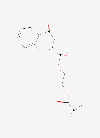 C=C(C)C(=O)OCCOC(=O)C1CC(=O)c2ccccc2S1